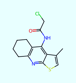 Cc1csc2nc3c(c(NC(=O)CCl)c12)CCCC3